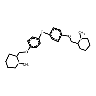 CN1CCCCC1COc1ccc(Oc2ccc(OCC3CCCCN3C)cc2)cc1